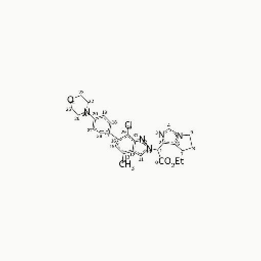 CCOC(=O)C(c1ncn2c1CCC2)n1cc2c(C)cc(-c3ccc(N4CCOCC4)cc3)c(Cl)c2n1